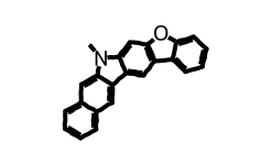 Cn1c2cc3ccccc3cc2c2cc3c(cc21)oc1ccccc13